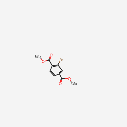 CC(C)(C)OC(=O)c1ccc(C(=O)OC(C)(C)C)c(Br)c1